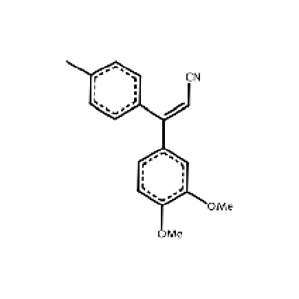 COc1ccc(C(=CC#N)c2ccc(C)cc2)cc1OC